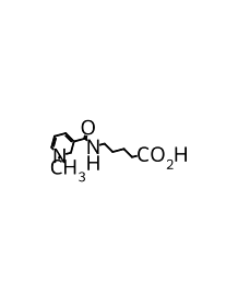 CN1C=CC=C(C(=O)NCCCCC(=O)O)C1